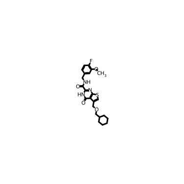 COc1cc(CNC(=O)c2nc3scc(COCC4CCCCC4)c3c(=O)[nH]2)ccc1F